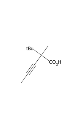 CC#CC(C)(C(=O)O)C(C)(C)C